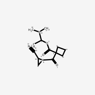 CC(OC(=O)C1(C(=O)N2CC2C#N)CCC1)N(C)C